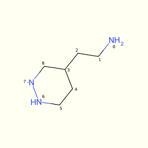 NCCC1CCN[N]C1